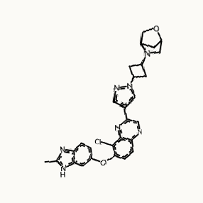 Cc1nc2ccc(Oc3ccc4ncc(-c5cnn(C6CC(N7CC8CC7CO8)C6)c5)nc4c3Cl)cc2[nH]1